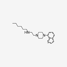 CCCCCCNCCN1CCN(c2cccc3ccsc23)CC1